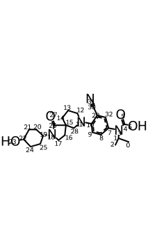 CC(C)N(C(=O)O)c1ccc(N2CCCC3(CCN([C@H]4CC[C@H](O)CC4)C3=O)C2)c(C#N)c1